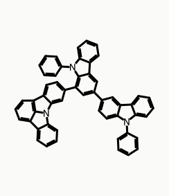 c1ccc(-n2c3ccccc3c3cc(-c4cc(-c5ccc6c7cccc8c9ccccc9n(c6c5)c87)c5c(c4)c4ccccc4n5-c4ccccc4)ccc32)cc1